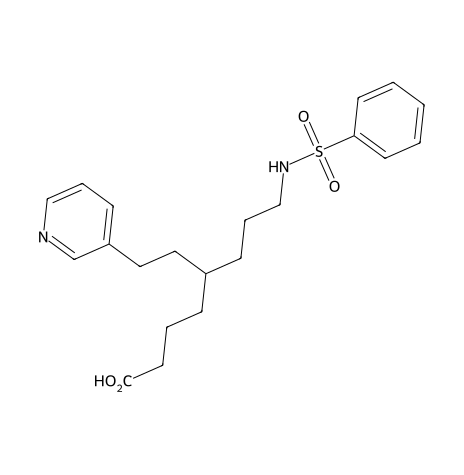 O=C(O)CCCC(CCCNS(=O)(=O)c1ccccc1)CCc1cccnc1